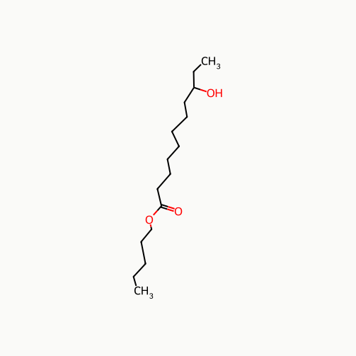 CCCCCOC(=O)CCCCCCCC(O)CC